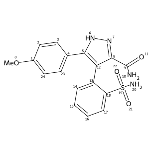 COc1ccc(-c2[nH]nc(C(N)=O)c2-c2ccccc2S(N)(=O)=O)cc1